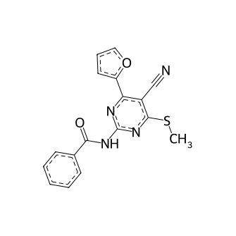 CSc1nc(NC(=O)c2ccccc2)nc(-c2ccco2)c1C#N